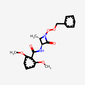 COc1cccc(OC)c1C(=O)N[C@@H]1C(=O)N(OOCc2ccccc2)[C@H]1C